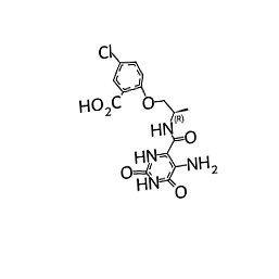 C[C@H](COc1ccc(Cl)cc1C(=O)O)NC(=O)c1[nH]c(=O)[nH]c(=O)c1N